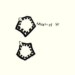 [H-].[H-].[Mo+2].c1cc[cH-]c1.c1cc[cH-]c1